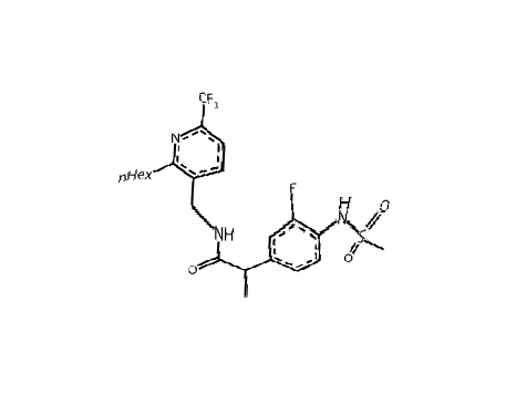 CCCCCCc1nc(C(F)(F)F)ccc1CNC(=O)C(C)c1ccc(NS(C)(=O)=O)c(F)c1